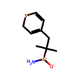 CC(C)(CC1=CCSC=C1)[S+](N)[O-]